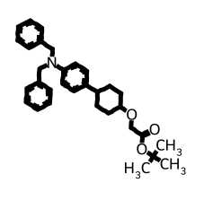 CC(C)(C)OC(=O)COC1CCC(c2ccc(N(Cc3ccccc3)Cc3ccccc3)cc2)CC1